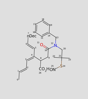 C/C=C/C=C(/C=C/CCCCCCCCCC)C(CC(=O)N(Cc1ccccc1)CC(C)(C)SN=O)C(=O)O